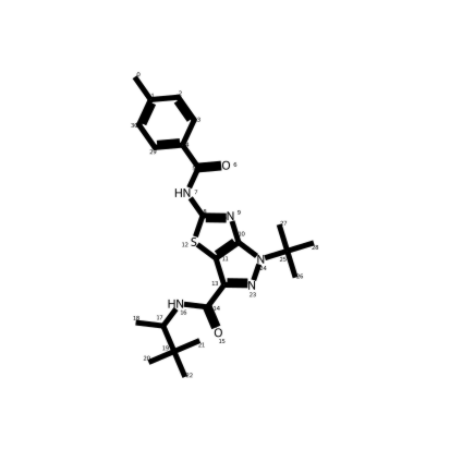 Cc1ccc(C(=O)Nc2nc3c(s2)c(C(=O)NC(C)C(C)(C)C)nn3C(C)(C)C)cc1